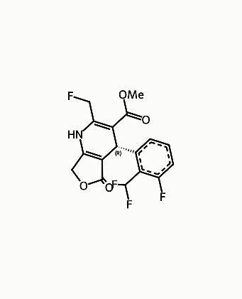 COC(=O)C1=C(CF)NC2=C(C(=O)OC2)[C@H]1c1cccc(F)c1C(F)F